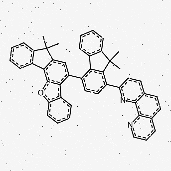 CC1(C)c2ccccc2-c2c1cc(-c1ccc(-c3ccc4ccc5cccnc5c4n3)c3c1-c1ccccc1C3(C)C)c1c2oc2ccccc21